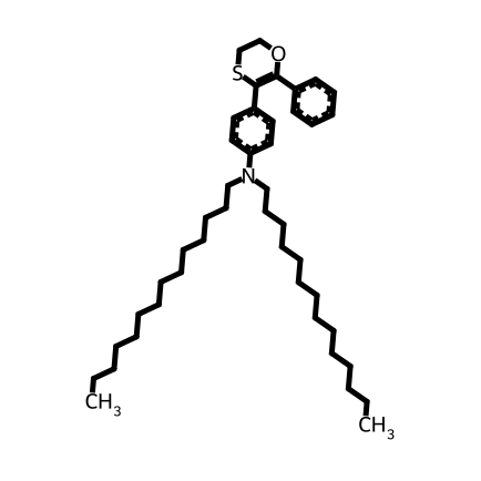 CCCCCCCCCCCCCCN(CCCCCCCCCCCCCC)c1ccc(C2=C(c3ccccc3)OCCS2)cc1